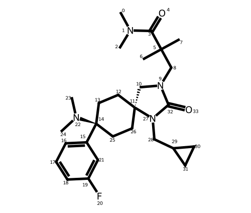 CN(C)C(=O)C(C)(C)CN1C[C@]2(CC[C@](c3cccc(F)c3)(N(C)C)CC2)N(CC2CC2)C1=O